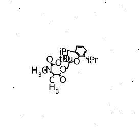 CC(C)c1cccc(C(C)C)c1OC(=O)COC(=O)C(C)N(C)C(=O)OC(C)(C)C